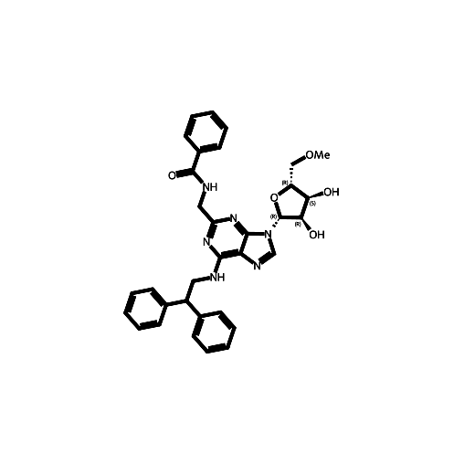 COC[C@H]1O[C@@H](n2cnc3c(NCC(c4ccccc4)c4ccccc4)nc(CNC(=O)c4ccccc4)nc32)[C@H](O)[C@@H]1O